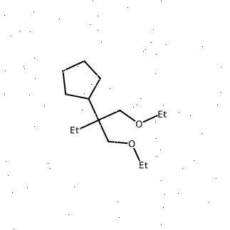 CCOCC(CC)(COCC)C1CCCC1